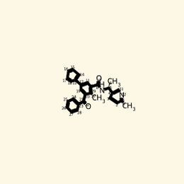 Cc1ccc([C@@H](C)NC(=O)c2cc(-c3ccccc3)cc(C(=O)c3ccccc3)c2C)cn1